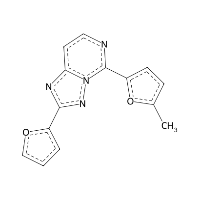 Cc1ccc(-c2nccc3nc(-c4ccco4)nn23)o1